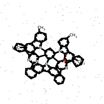 Cc1ccc2c(c1)c1cc(C)ccc1n2-c1cc(-n2c3ccc(C)cc3c3cc(C)ccc32)c(-c2cc(-c3ccccc3)nc(-c3ccccc3)n2)c(-n2c3ccccc3c3ccccc32)c1-c1cc(-c2ccccc2)nc(-c2ccccc2)n1